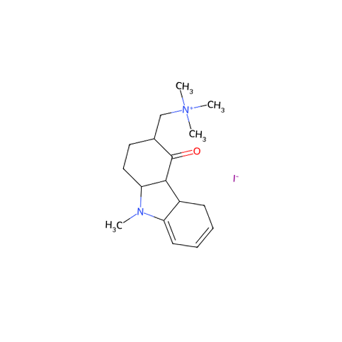 CN1C2=CC=CCC2C2C(=O)C(C[N+](C)(C)C)CCC21.[I-]